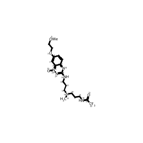 COCCOc1ccc2nc(NCCCN(C)CCCNC(=O)C(F)(F)F)n[n+]([O-])c2c1